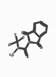 CN(C(=S)N1C(=O)c2ccccc2C1=O)C(F)(Cl)Cl